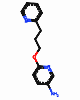 Nc1ccc(OCCCc2ccccn2)nc1